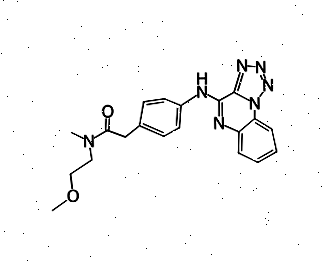 COCCN(C)C(=O)Cc1ccc(Nc2nc3ccccc3n3nnnc23)cc1